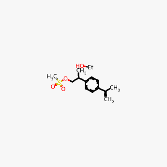 C=C(C)c1ccc(C(C)COS(C)(=O)=O)cc1.CCO